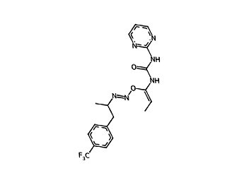 C/C=C(/NC(=O)Nc1ncccn1)ON=NC(C)Cc1ccc(C(F)(F)F)cc1